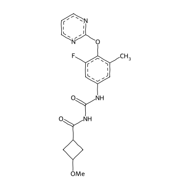 COC1CC(C(=O)NC(=O)Nc2cc(C)c(Oc3ncccn3)c(F)c2)C1